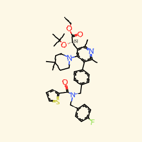 CCOC(=O)[C@@H](OC(C)(C)C)c1c(C)nc(C)c(-c2ccc(CN(Cc3ccc(F)cc3)C(=O)c3cccs3)cc2)c1N1CCC(C)(C)CC1